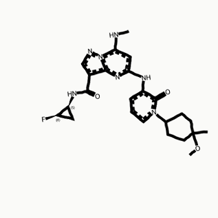 CNc1cc(Nc2cccn(C3CCC(C)(OC)CC3)c2=O)nc2c(C(=O)N[C@H]3C[C@H]3F)cnn12